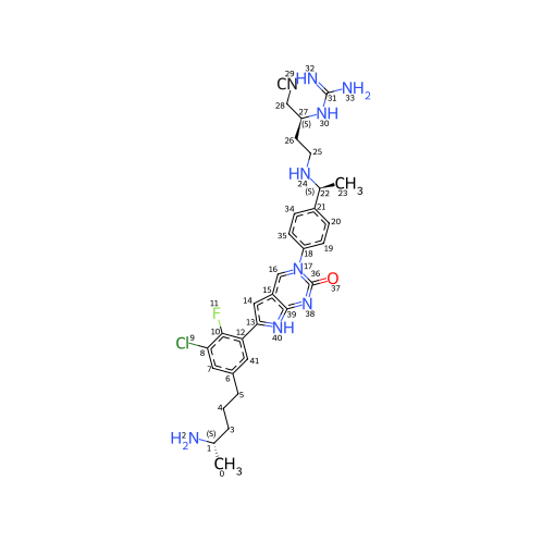 C[C@H](N)CCCc1cc(Cl)c(F)c(-c2cc3cn(-c4ccc([C@H](C)NCC[C@@H](CC#N)NC(=N)N)cc4)c(=O)nc3[nH]2)c1